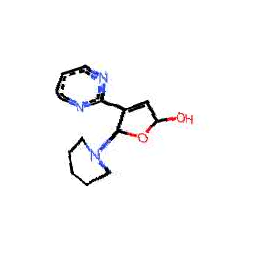 OC1C=C(c2ncccn2)C(N2CCCCC2)O1